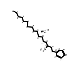 CCCCCCCCCCCCCCC(N)CCc1ccccc1.Cl